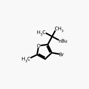 CCCCC(C)(C)c1oc(C)cc1Br